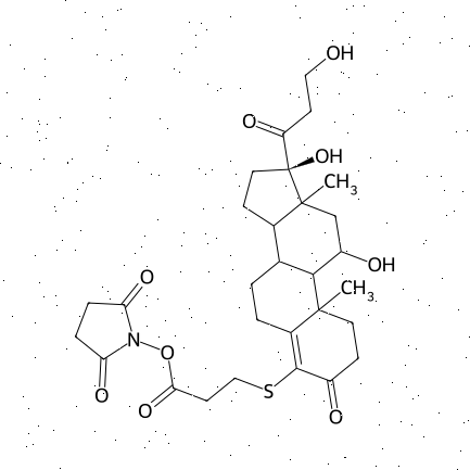 CC12CCC(=O)C(SCCC(=O)ON3C(=O)CCC3=O)=C1CCC1C2C(O)CC2(C)C1CC[C@]2(O)C(=O)CCO